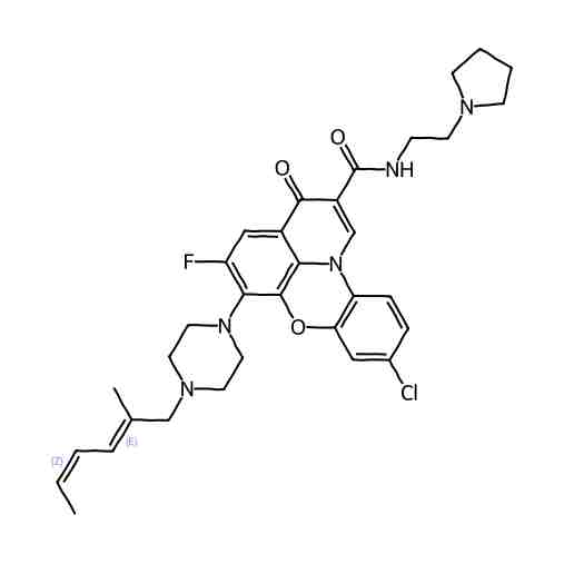 C/C=C\C=C(/C)CN1CCN(c2c(F)cc3c(=O)c(C(=O)NCCN4CCCC4)cn4c3c2Oc2cc(Cl)ccc2-4)CC1